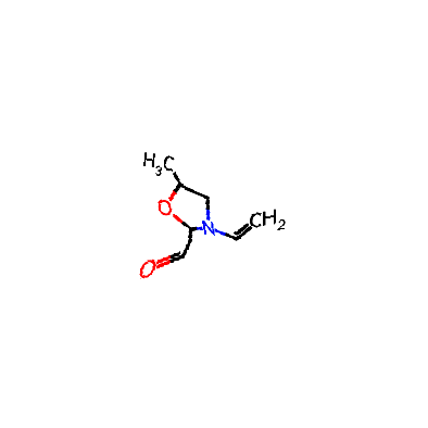 C=CN1CC(C)OC1C=O